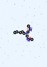 c1ccc2cc(-c3ccc4c(ccc5cc(N(c6ccc(-c7ncnc8c7oc7ccccc78)cc6)c6ccc(-c7ncnc8c7oc7ccccc78)cc6)ccc54)c3)ccc2c1